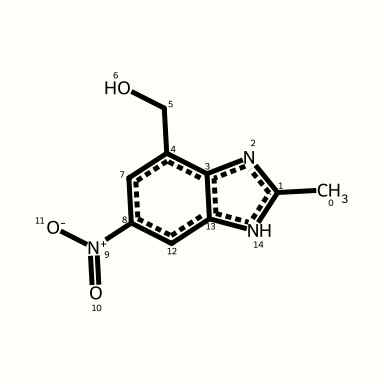 Cc1nc2c(CO)cc([N+](=O)[O-])cc2[nH]1